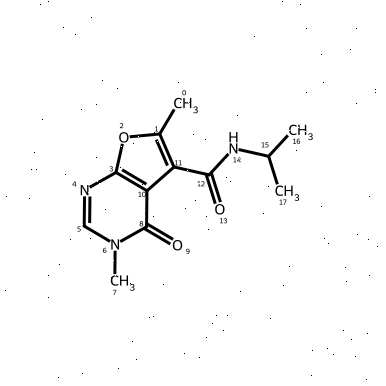 Cc1oc2ncn(C)c(=O)c2c1C(=O)NC(C)C